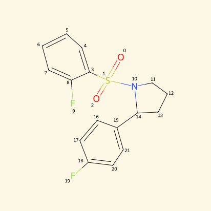 O=S(=O)(c1ccccc1F)N1CCCC1c1ccc(F)cc1